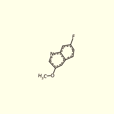 COc1cnc2cc(F)ccc2c1